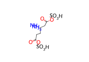 N.N.O=C(CCCCC(=O)OS(=O)(=O)O)OS(=O)(=O)O